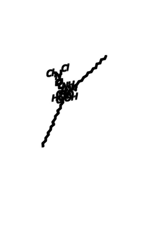 CCCCCCCCCCCCCCCCCC(=O)C(O)C(O)(C(=O)CCCCCCCCCCCCCCCCC)C(O)C(=O)C(N)Cc1ccc(N(CCCl)CCCl)cc1